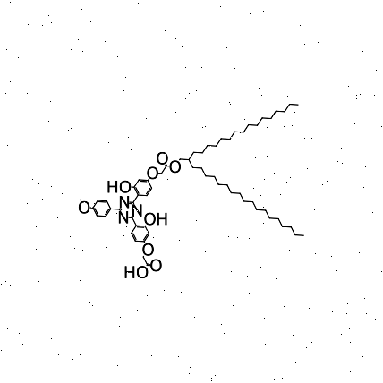 CCCCCCCCCCCCCCCCCCC(CCCCCCCCCCCCCCCC)COC(=O)COc1ccc(-c2nc(-c3ccc(OC)cc3)nc(-c3ccc(OCC(=O)O)cc3O)n2)c(O)c1